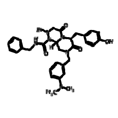 CCN1CC(=O)N2[C@@H](Cc3ccc(O)cc3)C(=O)N(Cc3cccc(N(C)C)c3)C[C@@H]2N1C(=O)NCc1ccccc1